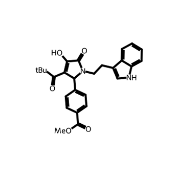 COC(=O)c1ccc(C2C(C(=O)C(C)(C)C)=C(O)C(=O)N2CCc2c[nH]c3ccccc23)cc1